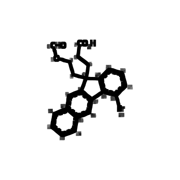 O=COCCC1(CCC(=O)O)c2cc3ccccc3cc2-c2c(Br)cccc21